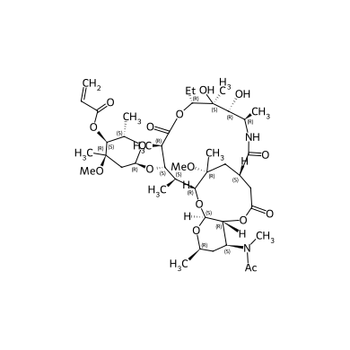 C=CC(=O)O[C@H]1[C@H](C)O[C@@H](O[C@H]2[C@H](C)[C@H]3O[C@@H]4O[C@H](C)C[C@H](N(C)C(C)=O)[C@H]4OC(=O)C[C@H](C[C@@]3(C)OC)C(=O)N[C@H](C)[C@@H](O)[C@](C)(O)[C@@H](CC)OC(=O)[C@@H]2C)C[C@@]1(C)OC